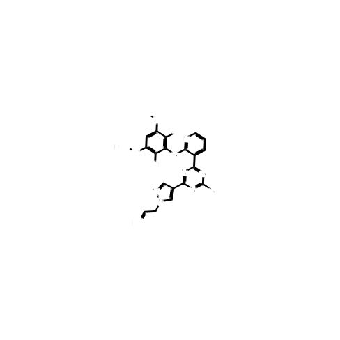 C=CCn1cc(-c2nc(N)nc(-c3cccnc3Nc3c(Cl)c(OC)cc(OC)c3Cl)n2)cn1